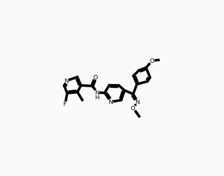 CON=C(c1ccc(OC)cc1)c1ccc(NC(=O)c2cncc(F)c2C)nc1